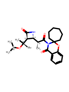 C[C@@H](C(=O)N1C(=O)c2ccccc2OC12CCCCCC2)[C@H]1NC(=O)[C@@H]1[C@@](C)(O[SiH](C)C)C(C)(C)C